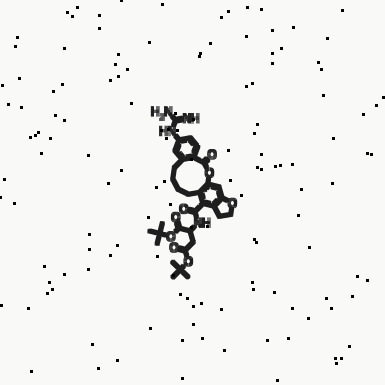 CC(C)(C)OC(=O)CC(NC(=O)c1c2c(cc3c1CCCCc1cc(NC(=N)N)ccc1C(=O)O3)OCC2)C(=O)OC(C)(C)C